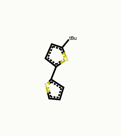 CC(C)(C)c1ccc(-c2cccs2)s1